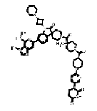 CC(C)Nc1nc(-c2ccc3c(c2)N([C@H]2C[C@@H](N4CCCCC4)C2)C(=O)C32CCN(C(=O)C3(C)CCN(C(=O)C4CCN(c5ccc(C6CCC(=O)NC6=O)cn5)CC4)CC3)CC2)cc2ncn(C(C)C)c12